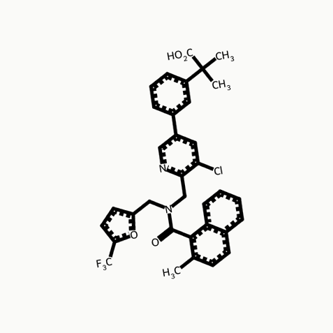 Cc1ccc2ccccc2c1C(=O)N(Cc1ccc(C(F)(F)F)o1)Cc1ncc(-c2cccc(C(C)(C)C(=O)O)c2)cc1Cl